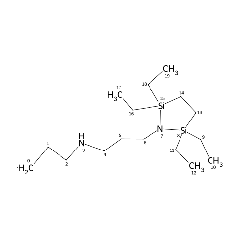 [CH2]CCNCCCN1[Si](CC)(CC)CC[Si]1(CC)CC